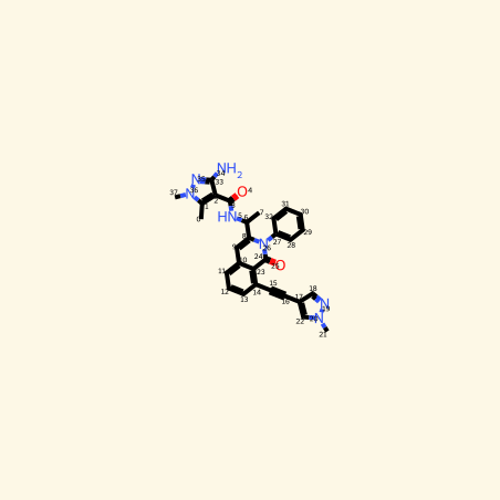 Cc1c(C(=O)NC(C)c2cc3cccc(C#Cc4cnn(C)c4)c3c(=O)n2-c2ccccc2)c(N)nn1C